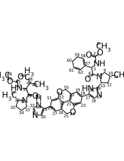 COC(=O)NC(C(=O)N1C[C@@H](C)C[C@H]1c1ncc(-c2cc3c4c(c2)OCc2cc(-c5cnc([C@@H]6CC[C@H](C)N6C(=O)C(NC(=O)OC)C(C)C)[nH]5)cc(c2-4)OC3)[nH]1)C1=CCCC=C1